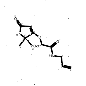 C=CCNC(=O)COC1=CC(=O)S[C@]1(C)CCCCCCCC